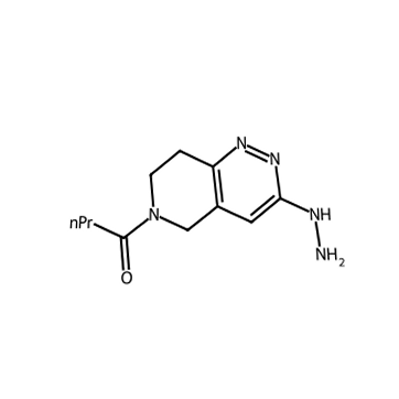 CCCC(=O)N1CCc2nnc(NN)cc2C1